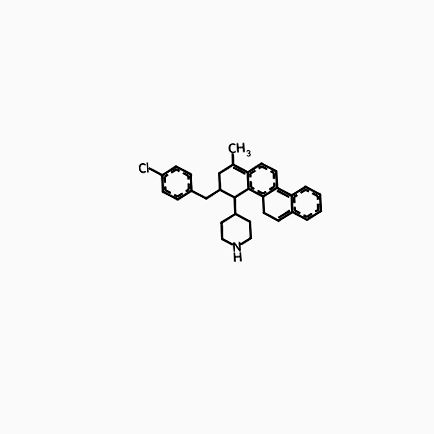 CC1=c2ccc3c(c2C(C2CCNCC2)C(Cc2ccc(Cl)cc2)C1)CC=c1ccccc1=3